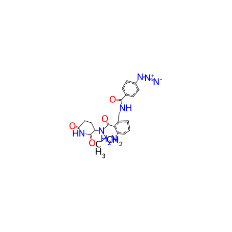 C=C(C)N(C(=O)c1c(N)cccc1CNC(=O)c1ccc(N=[N+]=[N-])cc1)C1CCC(=O)NC1=O